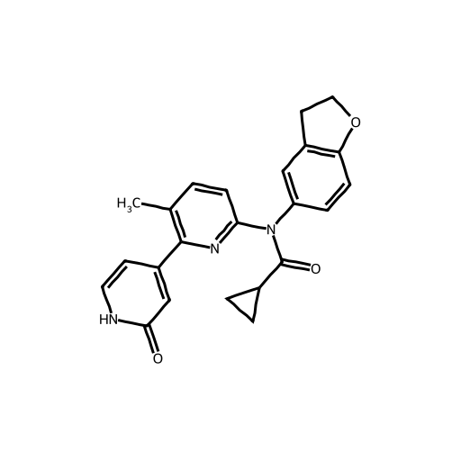 Cc1ccc(N(C(=O)C2CC2)c2ccc3c(c2)CCO3)nc1-c1cc[nH]c(=O)c1